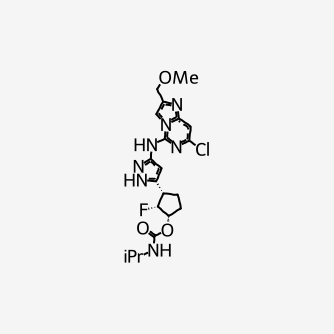 COCc1cn2c(Nc3cc([C@@H]4CC[C@H](OC(=O)NC(C)C)[C@@H]4F)[nH]n3)nc(Cl)cc2n1